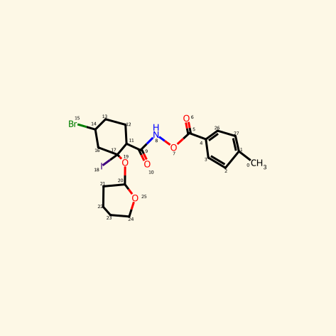 Cc1ccc(C(=O)ONC(=O)C2CCC(Br)CC2(I)OC2CCCCO2)cc1